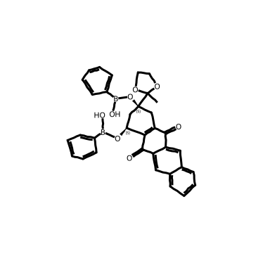 CC1([C@]2(OB(O)c3ccccc3)CC3=C(C(=O)c4cc5ccccc5cc4C3=O)[C@@H](OB(O)c3ccccc3)C2)OCCO1